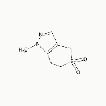 Cn1ncc2c1CCS(=O)(=O)C2